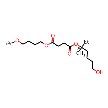 CCCOCCCCOC(=O)CCC(=O)O[C@](C)(CC)CCCCO